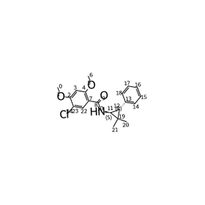 COc1cc(OC)c(C(=O)N[C@H]2[C@H](c3ccccc3)C2(C)C)cc1Cl